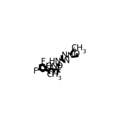 Cc1c(C(F)(NC(=O)Nc2cnc(N3CCO[C@@H](C)C3)nc2)C(F)F)oc2c(F)cc(F)cc12